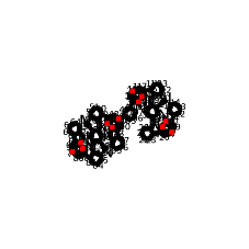 N#Cc1c(-n2c3ccccc3c3ccccc32)c(-n2c3ccccc3c3ccccc32)cc(-n2c3ccccc3c3cc(-c4ccc5c(c4)c4ccccc4n5-c4c(C#N)c(-n5c6ccccc6c6ccccc65)c(-n5c6ccccc6c6ccccc65)c(C#N)c4-n4c5ccccc5c5ccccc54)ccc32)c1-n1c2ccccc2c2ccccc21